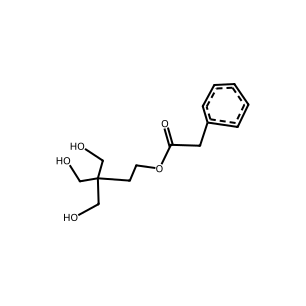 O=C(Cc1ccccc1)OCCC(CO)(CO)CO